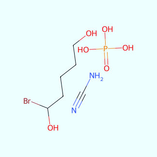 N#CN.O=P(O)(O)O.OCCCCC(O)Br